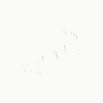 CC(C)(C)OC(=O)N1CCCC(n2cc(NC(=O)c3cnn4cccnc34)c(-c3cc4ccccc4cc3OC(F)F)n2)C1